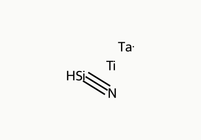 N#[SiH].[Ta].[Ti]